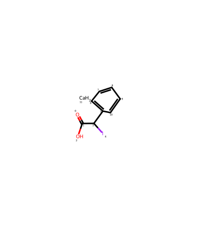 O=C(O)C(I)c1ccccc1.[CaH2]